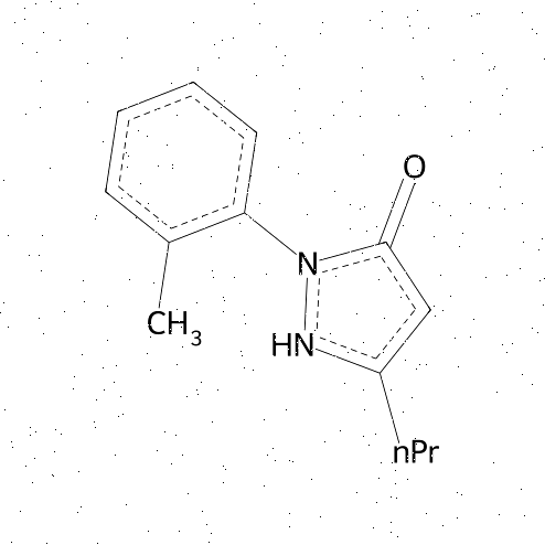 CCCc1cc(=O)n(-c2ccccc2C)[nH]1